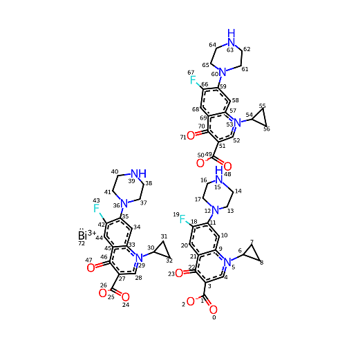 O=C([O-])c1cn(C2CC2)c2cc(N3CCNCC3)c(F)cc2c1=O.O=C([O-])c1cn(C2CC2)c2cc(N3CCNCC3)c(F)cc2c1=O.O=C([O-])c1cn(C2CC2)c2cc(N3CCNCC3)c(F)cc2c1=O.[Bi+3]